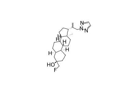 C=C(Cn1nccn1)[C@H]1CC[C@H]2[C@@H]3CC[C@@H]4C[C@@](O)(CF)CC[C@@H]4[C@H]3CC[C@]12C